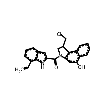 C=Cc1cccc2cc(C(=O)N3CC(CCl)c4c3cc(O)c3ccccc43)[nH]c12